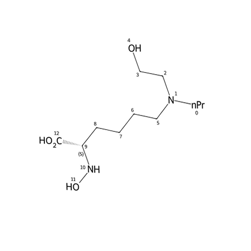 CCCN(CCO)CCCC[C@H](NO)C(=O)O